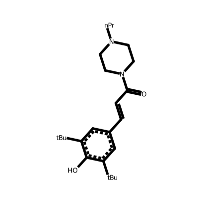 CCCN1CCN(C(=O)C=Cc2cc(C(C)(C)C)c(O)c(C(C)(C)C)c2)CC1